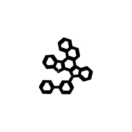 c1ccc(-c2cccc(-n3c4ccccc4c4c5ccc6ccccc6c5c5c6ccccc6oc5c43)c2)cc1